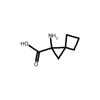 NC1(C(=O)O)CC12CCC2